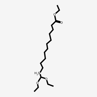 CCOC(=O)CCCCCCCCCC[SiH2]C(OCC)OCC